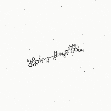 CCc1c(-c2ccc(C(=O)NCCCNC(=O)CCCNCCCC(=O)Nc3ccc4c(c3)C(=O)N(CC)c3ccccc3O4)nc2)cnc(N)c1-c1ccc(O)cc1